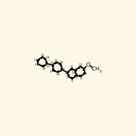 COc1ccc2ccc(-c3ccc(-c4ccccc4)cc3)cc2c1